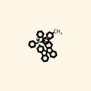 Cc1ccc(P(=O)(c2ccccc2)C2C=CC3=C(C2)C2(c4ccccc43)c3ccccc3-c3ccc(P(=O)(c4ccccc4)c4ccccc4)cc32)cc1